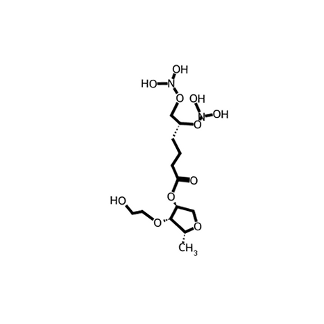 C[C@H]1OC[C@@H](OC(=O)CCC[C@H](CON(O)O)ON(O)O)[C@H]1OCCO